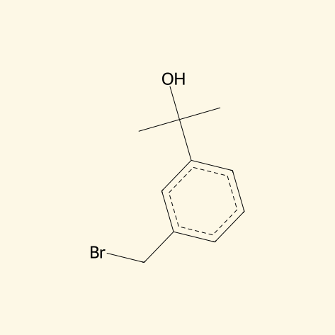 CC(C)(O)c1cccc(CBr)c1